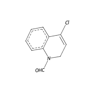 O=CN1CC=C(Cl)c2ccccc21